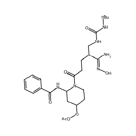 CCCCNC(=O)NCC(CCC(=O)N1CCC(OOC(C)=O)CC1NC(=O)c1ccccc1)C(N)=NO